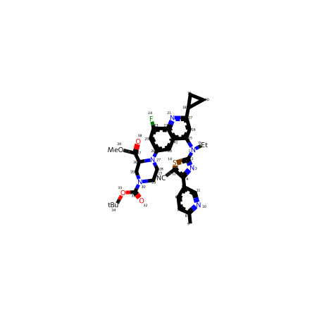 CCN(c1nc(-c2ccc(C)nc2)c(C#N)s1)c1cc(C2CC2)nc2c(F)cc(N3CCN(C(=O)OC(C)(C)C)CC3C(=O)OC)cc12